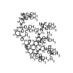 CC(C)(C)OC(=O)[C@@H](Cc1cccc(COCCN(Cc2cccc(C[C@H](C(=O)OC(C)(C)C)[C@H]3CCN(C(=O)OC(C)(C)C)C3)c2)C(=O)Cc2cccc(C[C@H](C(=O)OC(C)(C)C)[C@H]3CCN(C(=O)OC(C)(C)C)C3)c2)c1)[C@H]1CCN(C(=O)OC(C)(C)C)C1